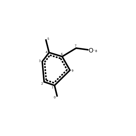 Cc1ccc(C)c(C[O])c1